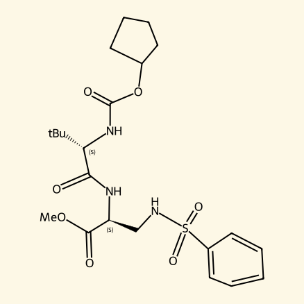 COC(=O)[C@H](CNS(=O)(=O)c1ccccc1)NC(=O)[C@@H](NC(=O)OC1CCCC1)C(C)(C)C